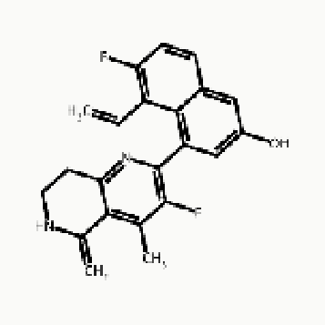 C=Cc1c(F)ccc2cc(O)cc(-c3nc4c(c(C)c3F)C(=C)NCC4)c12